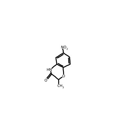 CC1Oc2ccc([N+](=O)[O-])cc2NC1=O